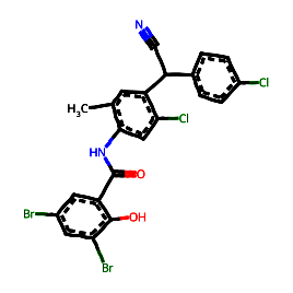 Cc1cc(C(C#N)c2ccc(Cl)cc2)c(Cl)cc1NC(=O)c1cc(Br)cc(Br)c1O